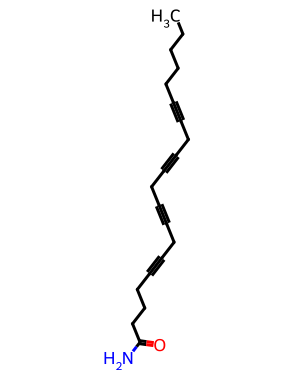 CCCCCC#CCC#CCC#CCC#CCCCC(N)=O